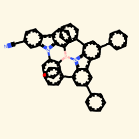 N#Cc1ccc2c3cccc4c3n(c2c1)-c1ccccc1B4n1c2c(-c3ccccc3)cc(-c3ccccc3)cc2c2cc(-c3ccccc3)cc(-c3ccccc3)c21